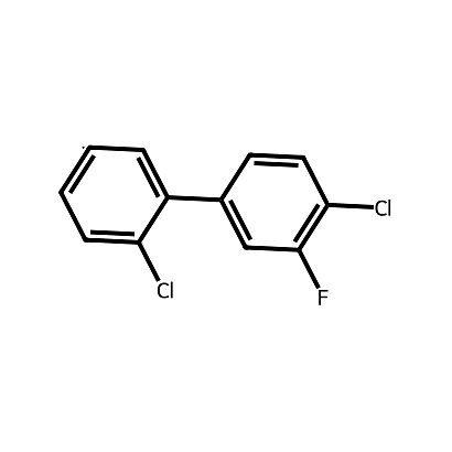 Fc1cc(-c2c[c]ccc2Cl)ccc1Cl